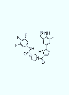 Cc1cc(-c2ccc(C(=O)N3CC[C@H](C(=O)Nc4cc(F)c(F)c(F)c4)C3)[nH]2)cc2cn[nH]c12